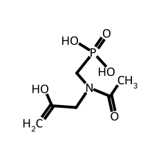 C=C(O)CN(CP(=O)(O)O)C(C)=O